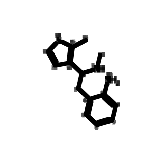 CNC(Cc1ccccc1N)c1ccsc1C